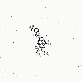 CCOC(=O)N(C(=O)OCC)C(N)=Nc1cc(OS(=O)(=O)c2cccc(C(F)(F)F)c2)ccc1NC(N)=O